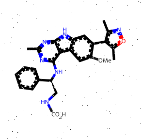 COc1cc2c(cc1-c1c(C)noc1C)[nH]c1nc(C)nc(N[C@@H](CNC(=O)O)c3ccccc3)c12